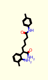 Cc1ccc(NC(=O)CCCCC(C(N)=O)c2cccc(C)c2N)cc1